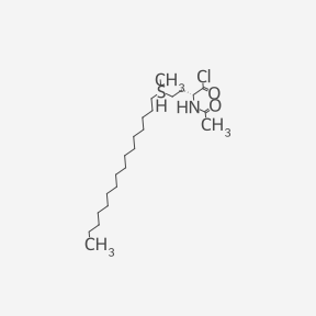 CCCCCCCCCCCCCCCC[SH](C)CC[C@@H](NC(C)=O)C(=O)Cl